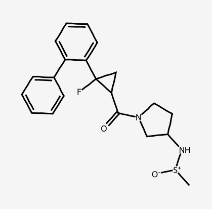 C[S+]([O-])NC1CCN(C(=O)C2CC2(F)c2ccccc2-c2ccccc2)C1